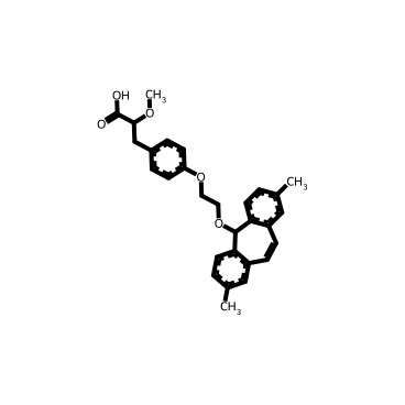 COC(Cc1ccc(OCCOC2c3ccc(C)cc3C=Cc3cc(C)ccc32)cc1)C(=O)O